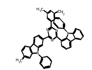 Cc1cc(C)cc(-c2nc(-c3ccc4c5ccc(C)cc5n(-c5ccccc5)c4c3)nc(-c3cccc4c5ccccc5n(-c5ccccc5)c34)n2)c1